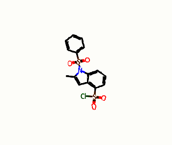 Cc1cc2c(S(=O)(=O)Cl)cccc2n1S(=O)(=O)c1ccccc1